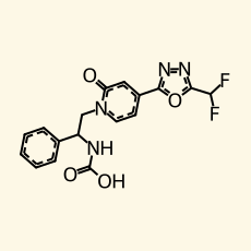 O=C(O)NC(Cn1ccc(-c2nnc(C(F)F)o2)cc1=O)c1ccccc1